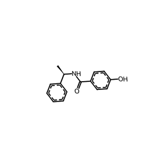 C[C@@H](NC(=O)c1ccc(O)cc1)c1ccccc1